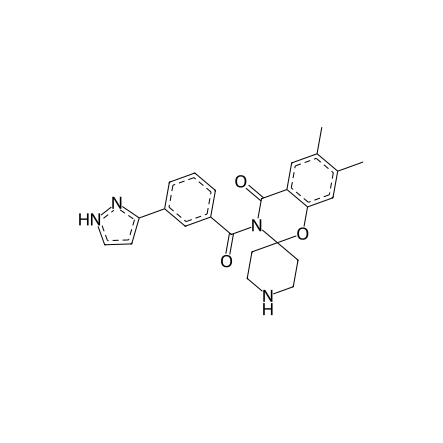 Cc1cc2c(cc1C)C(=O)N(C(=O)c1cccc(-c3cc[nH]n3)c1)C1(CCNCC1)O2